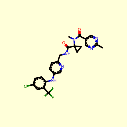 Cc1ncc(C(=O)N(C)C2(C(=O)NCc3ccc(Nc4ccc(Cl)cc4C(F)(F)F)cn3)CC2)cn1